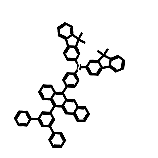 CC1(C)c2ccccc2-c2ccc(N(c3ccc(-c4c5ccccc5c(-c5cc(-c6ccccc6)cc(-c6ccccc6)c5)c5cc6ccccc6cc45)cc3)c3ccc4c(c3)C(C)(C)c3ccccc3-4)cc21